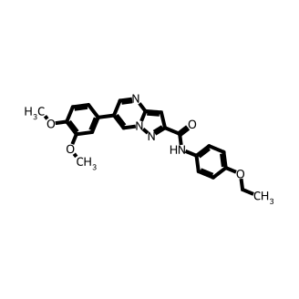 CCOc1ccc(NC(=O)c2cc3ncc(-c4ccc(OC)c(OC)c4)cn3n2)cc1